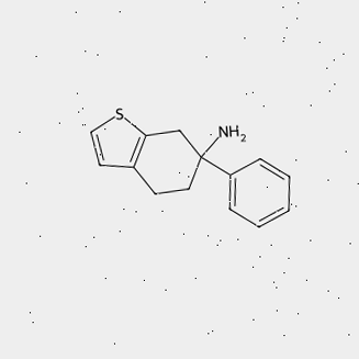 NC1(c2ccccc2)CCc2ccsc2C1